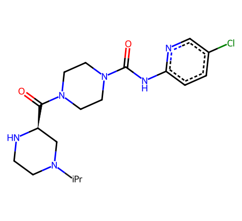 CC(C)N1CCN[C@@H](C(=O)N2CCN(C(=O)Nc3ccc(Cl)cn3)CC2)C1